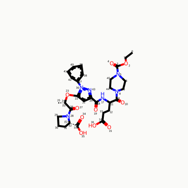 CCOC(=O)N1CCN(C(=O)C(CCC(=O)O)NC(=O)c2cc(O[C@@H](C)C(=O)N3CCC[C@H]3C(=O)O)n(-c3ccccc3)n2)CC1